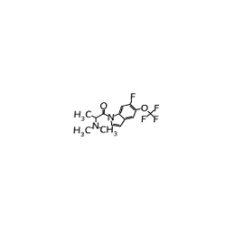 CC(C(=O)n1ccc2cc(OC(F)(F)F)c(F)cc21)N(C)C